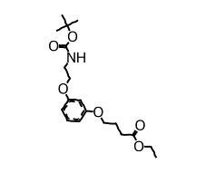 CCOC(=O)CCCOc1cccc(OCCNC(=O)OC(C)(C)C)c1